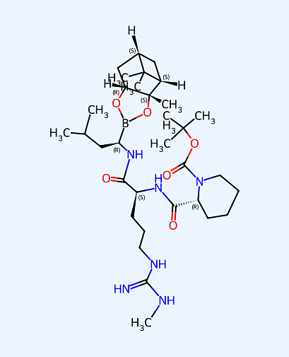 CNC(=N)NCCC[C@H](NC(=O)[C@H]1CCCCN1C(=O)OC(C)(C)C)C(=O)N[C@@H](CC(C)C)B1O[C@@H]2C[C@@H]3C[C@@H](C3(C)C)[C@]2(C)O1